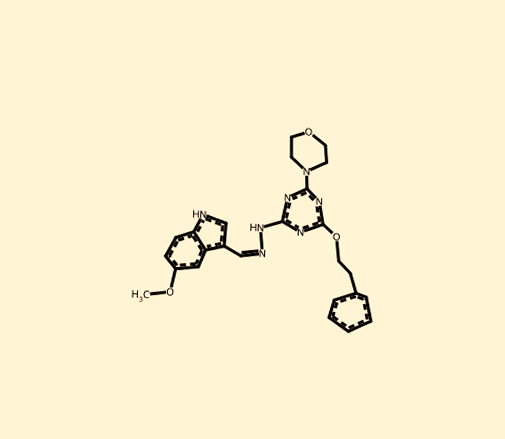 COc1ccc2[nH]cc(/C=N\Nc3nc(OCCc4ccccc4)nc(N4CCOCC4)n3)c2c1